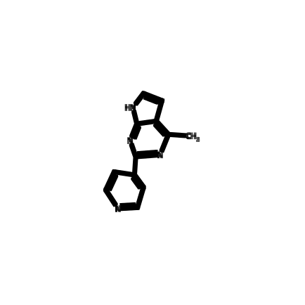 Cc1nc(-c2ccncc2)nc2[nH]ccc12